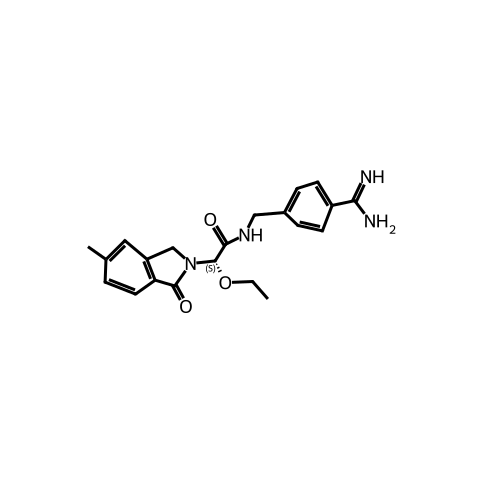 CCO[C@@H](C(=O)NCc1ccc(C(=N)N)cc1)N1Cc2cc(C)ccc2C1=O